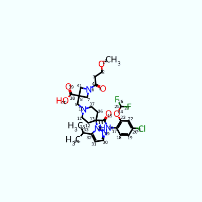 COCCC(=O)N1CC(CN2CCC(C(=O)Nc3ccc(Cl)cc3OC(F)F)(n3nccc3C(C)C)CC2)(C(=O)O)C1